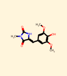 COc1cc(/C=C2\NC(=O)N(C)C2=O)cc(OC)c1O